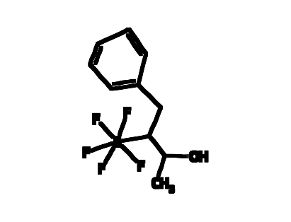 CC(O)C(Cc1ccccc1)S(F)(F)(F)(F)F